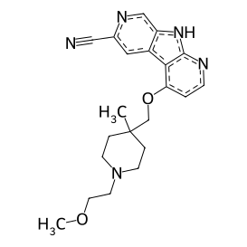 COCCN1CCC(C)(COc2ccnc3[nH]c4cnc(C#N)cc4c23)CC1